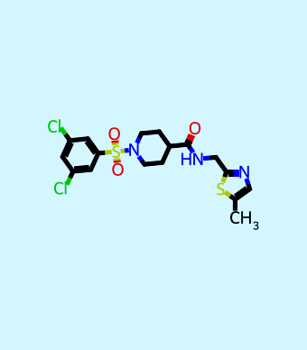 Cc1cnc(CNC(=O)C2CCN(S(=O)(=O)c3cc(Cl)cc(Cl)c3)CC2)s1